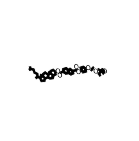 CCC1(COCCOc2ccc(OC(=O)c3ccc4cc(C(=O)OC5CCC6(C)C(=CCC7C6CCC6(C)C(C(C)CCCC(C)C)CCC76)C5)ccc4c3)cc2)COC1